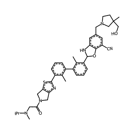 Cc1c(-c2nc3c(s2)CN(C(=O)CN(C)C(C)C)C3)cccc1-c1cccc(C2Nc3cc(CN4CCC(C)(CO)C4)cc(C#N)c3O2)c1C